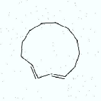 [CH]1CCC/C=C/C=C/CCCCC1